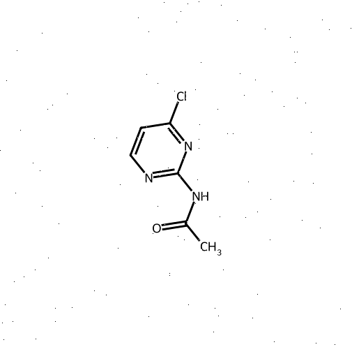 CC(=O)Nc1nccc(Cl)n1